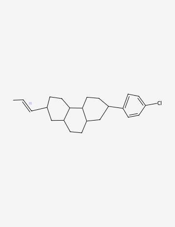 C/C=C/C1CCC2C(CCC3CC(c4ccc(Cl)cc4)CCC32)C1